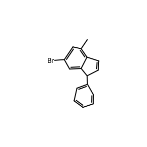 Cc1cc(Br)cc2c1C=CC2c1ccccc1